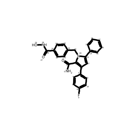 NC(=O)c1c(-c2ccc(F)cc2)cc(-c2ccccc2)n1Cc1ccc(C(=O)NO)cc1